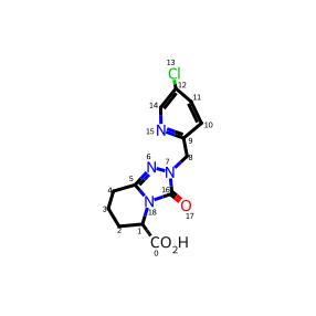 O=C(O)C1CCCc2nn(Cc3ccc(Cl)cn3)c(=O)n21